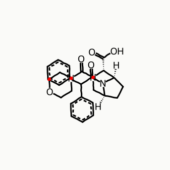 O=C(O)[C@@H]1[C@H]2CC[C@@H](CN1C(=O)N1CCOCC1)N2C(=O)C(c1ccccc1)c1ccccc1